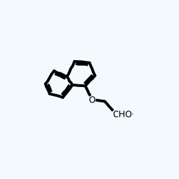 O=[C]COc1cccc2ccccc12